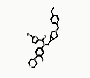 CCc1ccc(CN2CC3C(C2)C3CN(C(=O)c2ccc(Br)s2)c2ccc(N3CCOCC3)c(F)c2)cc1